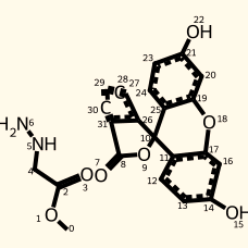 COC(=O)CNN.O=C1OC2(c3ccc(O)cc3Oc3cc(O)ccc32)c2ccccc21